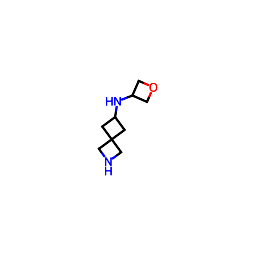 C1OCC1NC1CC2(CNC2)C1